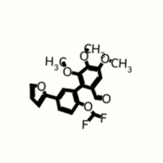 COc1cc(C=O)c(-c2cc(-c3ccco3)ccc2OC(F)F)c(OC)c1OC